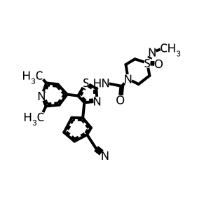 CN=S1(=O)CCN(C(=O)Nc2nc(-c3cccc(C#N)c3)c(-c3cc(C)nc(C)c3)s2)CC1